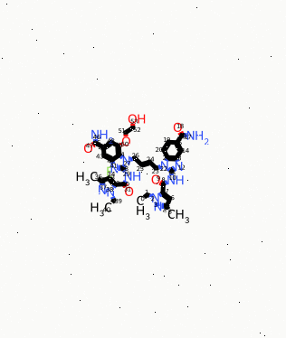 CCn1nc(C)cc1C(=O)Nc1nc2cc(C(N)=O)ccc2n1C/C=C/Cn1c(NC(=O)c2c(F)c(C)nn2CC)nc2cc(C(N)=O)cc(OCCO)c21